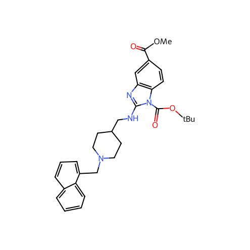 COC(=O)c1ccc2c(c1)nc(NCC1CCN(Cc3cccc4ccccc34)CC1)n2C(=O)OC(C)(C)C